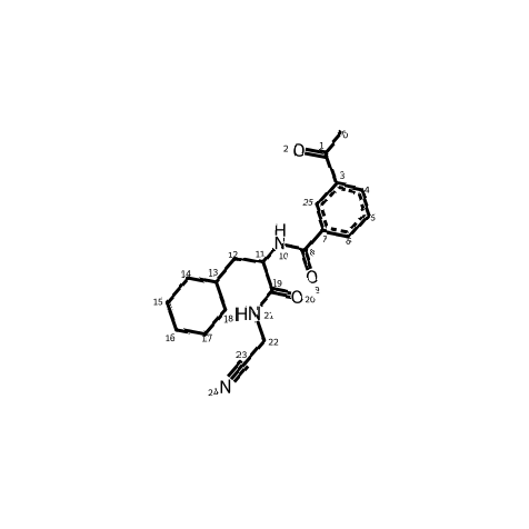 CC(=O)c1cccc(C(=O)NC(CC2CCCCC2)C(=O)NCC#N)c1